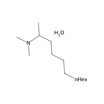 CCCCCCCCCCC(C)N(C)C.O